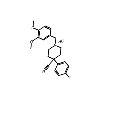 COc1ccc(CN2CCC(C#N)(c3ccc(F)cc3)CC2)cc1OC.Cl